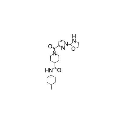 CC1CCC(NC(=O)C2CCN(C(=O)c3ccn(C4NCCO4)n3)CC2)CC1